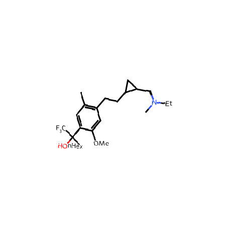 CCCCCCC(O)(c1cc(C)c(CCC2CC2CN(C)CC)cc1OC)C(F)(F)F